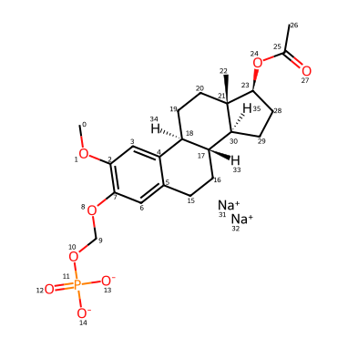 COc1cc2c(cc1OCOP(=O)([O-])[O-])CC[C@@H]1[C@@H]2CC[C@]2(C)[C@@H](OC(C)=O)CC[C@@H]12.[Na+].[Na+]